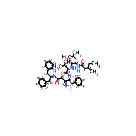 CCC(C)CC(=O)N[C@@H](CC(C)C)C(=O)N[C@H](C(=O)N[C@@H](Cc1ccccc1)[C@@H](N)CC(=O)NC(Cc1ccccc1)Cc1ccccc1)C(C)C